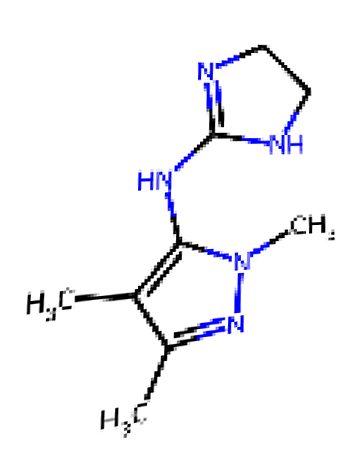 Cc1nn(C)c(NC2=NCCN2)c1C